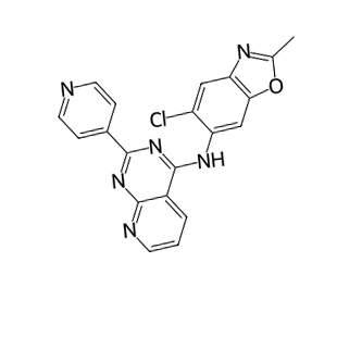 Cc1nc2cc(Cl)c(Nc3nc(-c4ccncc4)nc4ncccc34)cc2o1